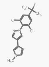 Cn1ccc(-c2cnn(-c3c(Cl)cc(C(F)(C(F)(F)F)C(F)(F)F)cc3Cl)c2)c1